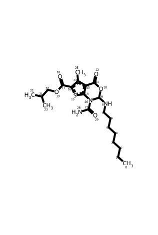 CCCCCCCCNC1OC(=O)c2c(sc(C(=O)OCC(C)C)c2C)N1C(N)=O